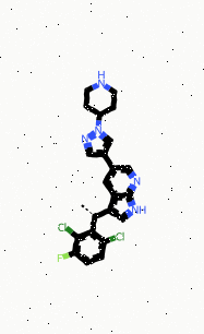 C[C@@H](c1c(Cl)ccc(F)c1Cl)c1c[nH]c2ncc(-c3cnn(C4CCNCC4)c3)cc12